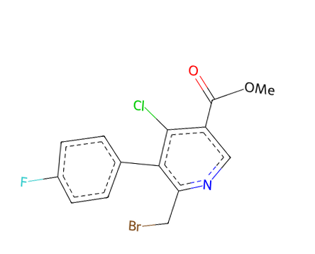 COC(=O)c1cnc(CBr)c(-c2ccc(F)cc2)c1Cl